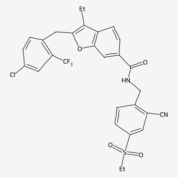 CCc1c(Cc2ccc(Cl)cc2C(F)(F)F)oc2cc(C(=O)NCc3ccc(S(=O)(=O)CC)cc3C#N)ccc12